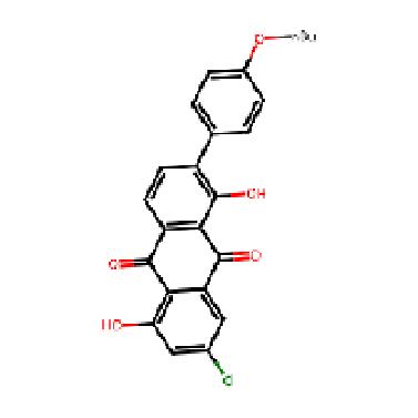 CCCCOc1ccc(-c2ccc3c(c2O)C(=O)c2cc(Cl)cc(O)c2C3=O)cc1